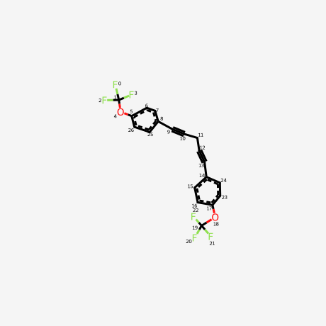 FC(F)(F)Oc1ccc(C#CCC#Cc2ccc(OC(F)(F)F)cc2)cc1